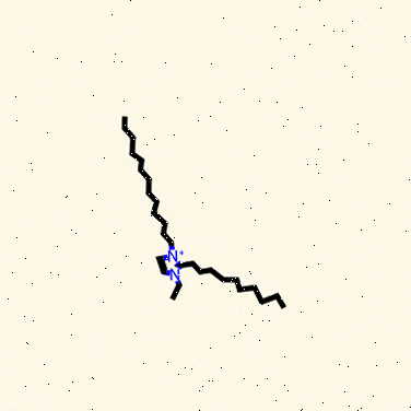 CCCCCCCCCCCCC[n+]1ccn(CC)c1CCCCCCCCCC